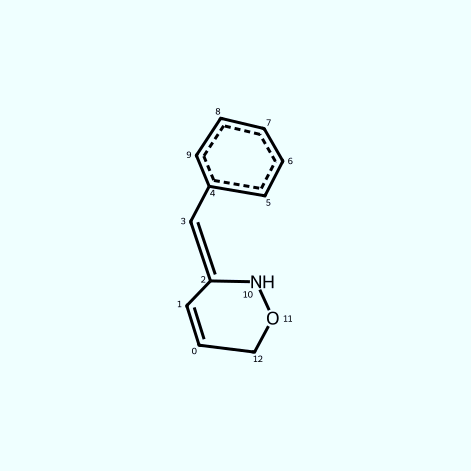 C1=CC(=Cc2ccccc2)NOC1